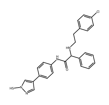 O=C(Nc1ccc(-c2cnn(S)c2)cc1)C(NCCc1ccc(Cl)cc1)c1ccccc1